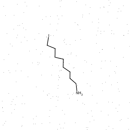 NCCCCCCCCI